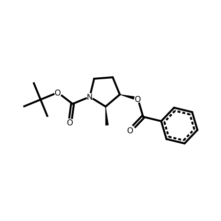 C[C@@H]1[C@H](OC(=O)c2ccccc2)CCN1C(=O)OC(C)(C)C